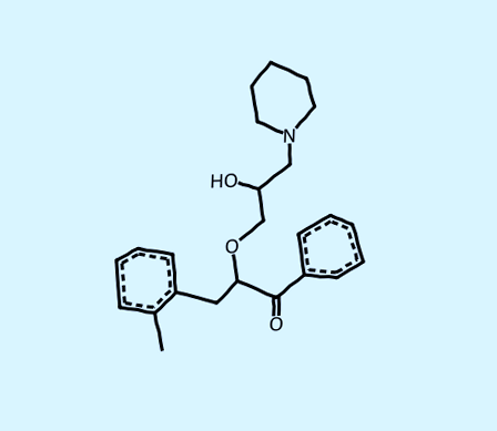 Cc1ccccc1CC(OCC(O)CN1CCCCC1)C(=O)c1ccccc1